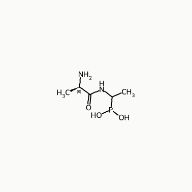 CC(NC(=O)[C@@H](C)N)P(O)O